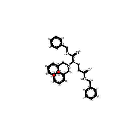 O=C(CC[C@H](C(=O)OCc1ccccc1)N(Cc1ccccc1)Cc1ccccc1)OCc1ccccc1